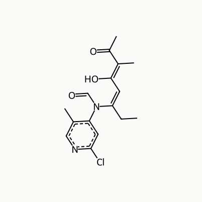 CC/C(=C/C(O)=C(\C)C(C)=O)N(C=O)c1cc(Cl)ncc1C